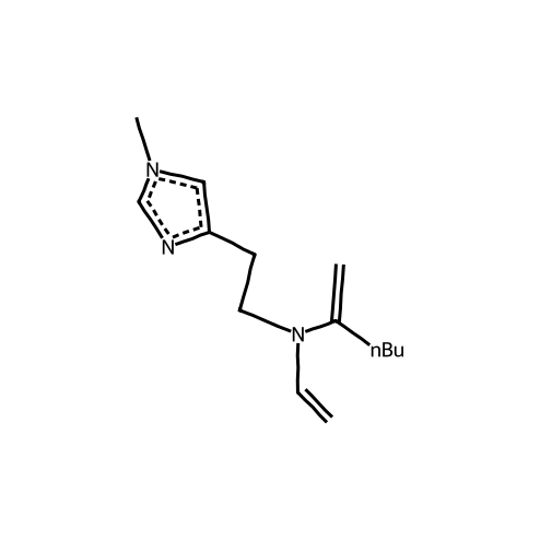 C=CN(CCc1cn(C)cn1)C(=C)CCCC